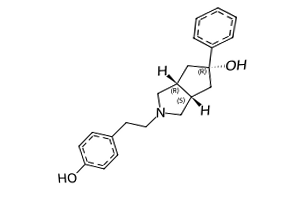 Oc1ccc(CCN2C[C@@H]3C[C@@](O)(c4ccccc4)C[C@@H]3C2)cc1